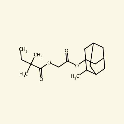 CCC(C)(C)C(=O)OCC(=O)OC12CC3CC(CC(C3)C1C)C2